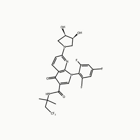 CC(C)(CC(F)(F)F)NC(=O)c1cn(-c2c(F)cc(F)cc2F)c2nc(N3C[C@@H](O)[C@@H](O)C3)ccc2c1=O